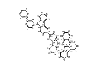 C1=CCCC(c2cccc(-n3c4ccccc4c4cc(-c5ccc6c(c5)c5ccccc5n6-c5c6c7c(c8ccccc58)CCC=C7c5ccccc5-6)ccc43)c2)=C1